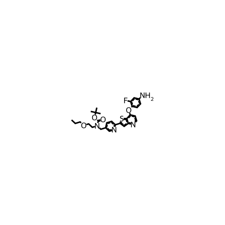 CCCOCCN(Cc1ccc(-c2cc3nccc(Oc4ccc(N)cc4F)c3s2)nc1)C(=O)OC(C)(C)C